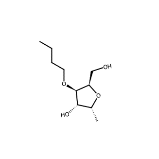 CCCCO[C@@H]1[C@@H](O)[C@@H](C)O[C@@H]1CO